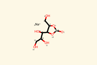 [Na+].[O-]B1OC(CO)C(C(O)C(O)CO)O1